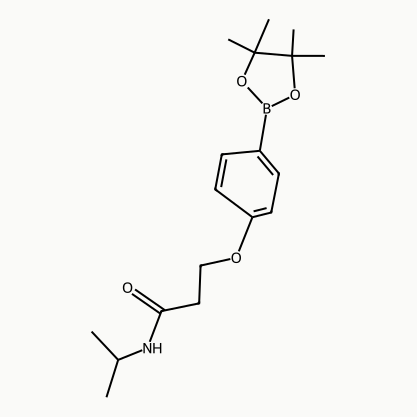 CC(C)NC(=O)CCOc1ccc(B2OC(C)(C)C(C)(C)O2)cc1